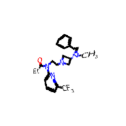 CCC(=O)N(CCN1CC(N(C)Cc2ccccc2)C1)c1cccc(C(F)(F)F)n1